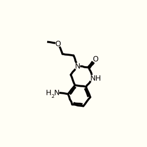 COCCN1Cc2c(N)cccc2NC1=O